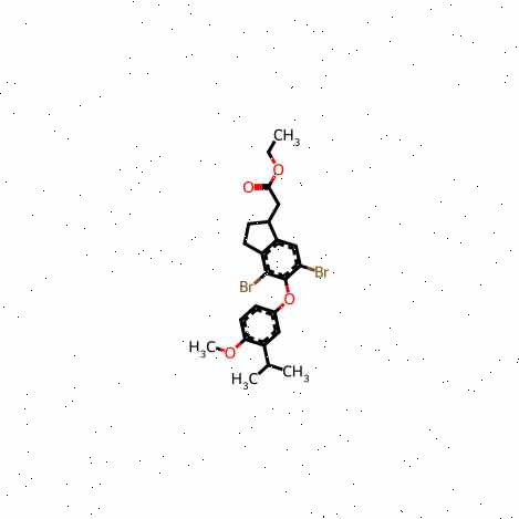 CCOC(=O)CC1CCc2c1cc(Br)c(Oc1ccc(OC)c(C(C)C)c1)c2Br